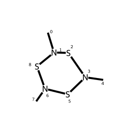 CN1SN(C)SN(C)S1